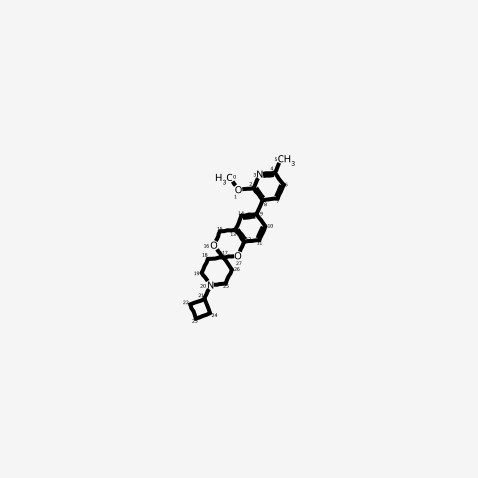 COc1nc(C)ccc1-c1ccc2c(c1)COC1(CCN(C3CCC3)CC1)O2